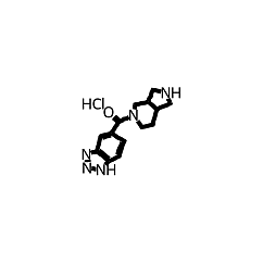 Cl.O=C(c1ccc2[nH]nnc2c1)N1CCC2CNCC2C1